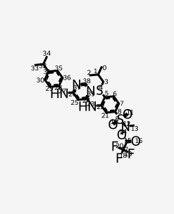 CC(C)CSc1ccc(S(=O)(=O)N(C)OC(=O)C(F)(F)F)cc1Nc1cc(Nc2ccc(C(C)C)cc2)ncn1